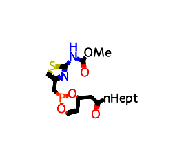 CCCCCCCC(=O)CC1C=COP(Cc2csc(NC(=O)OC)n2)O1